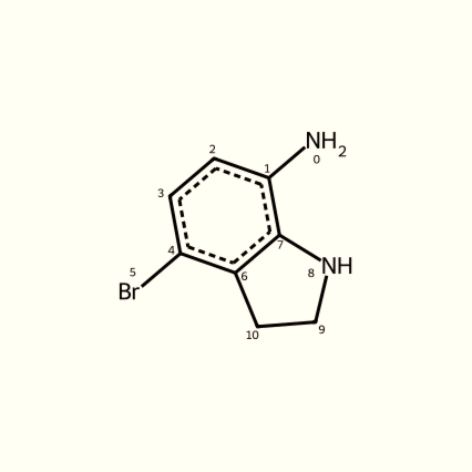 Nc1ccc(Br)c2c1NCC2